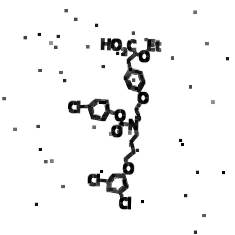 CCOC(Cc1ccc(OCCN(CCCCOc2cc(Cl)cc(Cl)c2)C(=O)Oc2ccc(Cl)cc2)cc1)C(=O)O